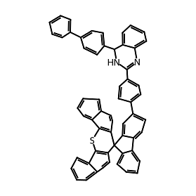 c1ccc(-c2ccc(C3NC(c4ccc(-c5ccc6c(c5)C5(c7ccccc7-6)c6ccc7ccccc7c6Sc6c5ccc5ccccc65)cc4)=Nc4ccccc43)cc2)cc1